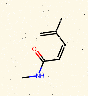 C=C(C)/C=C\C(=O)NC